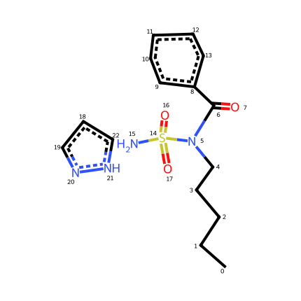 CCCCCN(C(=O)c1ccccc1)S(N)(=O)=O.c1cn[nH]c1